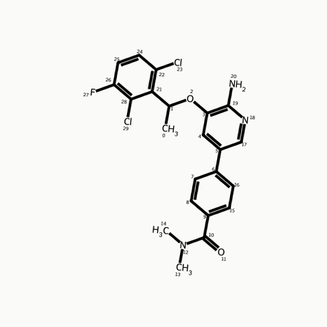 CC(Oc1cc(-c2ccc(C(=O)N(C)C)cc2)cnc1N)c1c(Cl)ccc(F)c1Cl